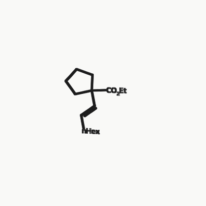 CCCCCCC=CC1(C(=O)OCC)CCCC1